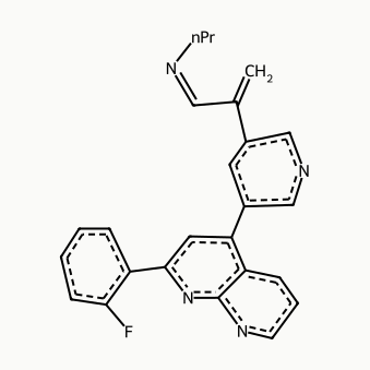 C=C(/C=N\CCC)c1cncc(-c2cc(-c3ccccc3F)nc3ncccc23)c1